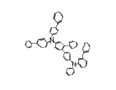 c1ccc(-c2ccc(N(c3ccc(-c4ccccc4)cc3)c3ccc(-c4ccc(N(c5ccccc5)c5cccc(-c6ccccc6)c5)cc4)c(-c4ccccc4)c3)cc2)cc1